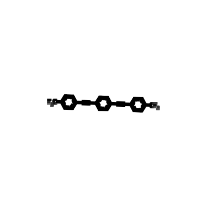 FC(F)(F)c1ccc(C#Cc2ccc(C#Cc3ccc(C(F)(F)F)cc3)cc2)cc1